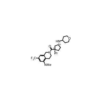 CNc1cc(C(F)(F)F)cc2c1CCN(C(=O)[C@@]1(C(C)C)CC[C@@H](NC3CCOCC3)C1)C2